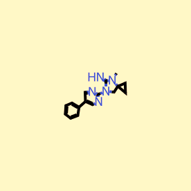 CN1C(=N)N(c2ncc(-c3ccccc3)cn2)CC12CC2